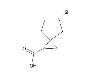 O=C(O)C1CC12CCN(S)C2